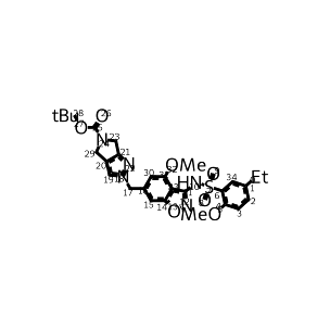 CCc1ccc(OC)c(S(=O)(=O)Nc2noc3cc(Cn4cc5c(n4)CN(C(=O)OC(C)(C)C)C5)cc(OC)c23)c1